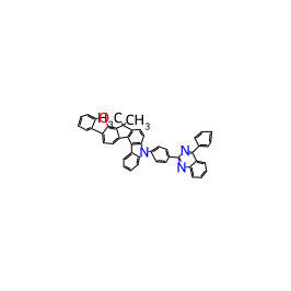 CC1(C)c2ccc3c(c2-c2ccc4c(oc5ccccc54)c21)c1ccccc1n3-c1ccc(-c2nc(-c3ccccc3)c3ccccc3n2)cc1